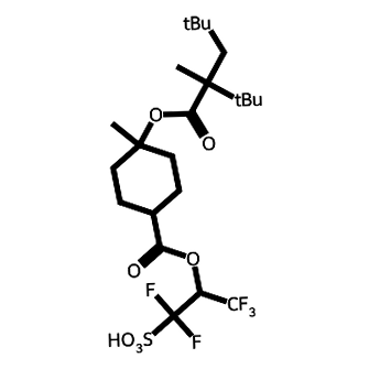 CC(C)(C)CC(C)(C(=O)OC1(C)CCC(C(=O)OC(C(F)(F)F)C(F)(F)S(=O)(=O)O)CC1)C(C)(C)C